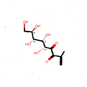 C=C(C)C(=O)C(=O)[C@H](O)[C@@H](O)[C@H](O)[C@H](O)CO